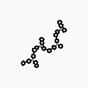 c1ccc(-c2ccc(N(c3ccc(-c4ccc5ccc(-n6c7ccc(-c8cccc(-c9ccc(N(c%10ccccc%10)c%10ccc(-c%11ccc%12ccc(-n%13c%14ccccc%14c%14cc%15ccccc%15cc%14%13)cc%12c%11)cc%10)cc9)c8)cc7c7cc8ccccc8cc76)cc5c4)cc3)c3ccc4ccccc4c3)cc2)cc1